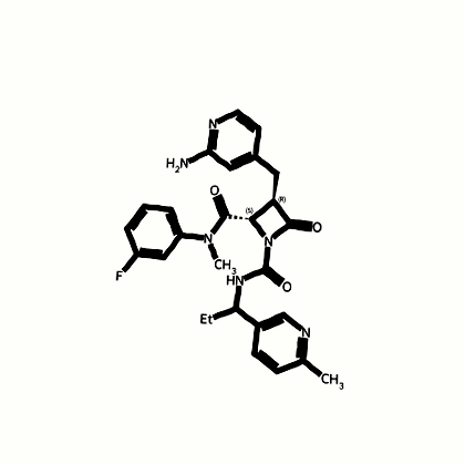 CCC(NC(=O)N1C(=O)[C@H](Cc2ccnc(N)c2)[C@H]1C(=O)N(C)c1cccc(F)c1)c1ccc(C)nc1